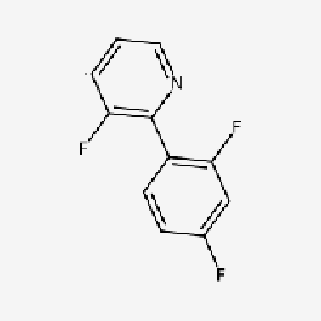 Fc1ccc(-c2ncc[c]c2F)c(F)c1